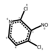 O=Nc1c(Cl)ccnc1Cl